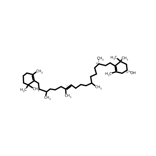 CC1=C(CCC(C)CCC/C(C)=C/CCCC(C)CCC[C@H](C)CCC2=C(C)C[C@@H](O)CC2(C)C)C(C)(C)CCC1